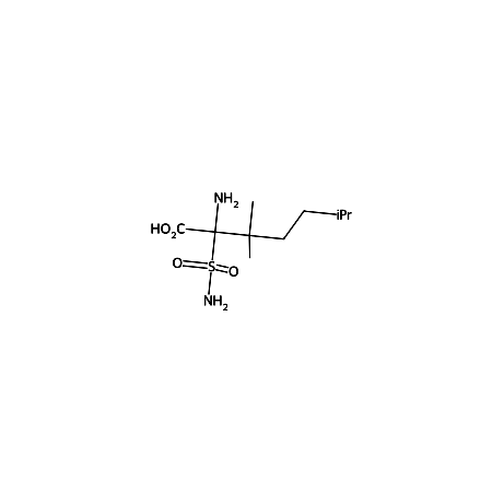 CC(C)CCC(C)(C)C(N)(C(=O)O)S(N)(=O)=O